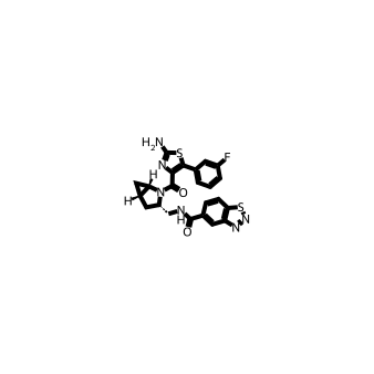 Nc1nc(C(=O)N2[C@H](CNC(=O)c3ccc4snnc4c3)C[C@@H]3C[C@@H]32)c(-c2cccc(F)c2)s1